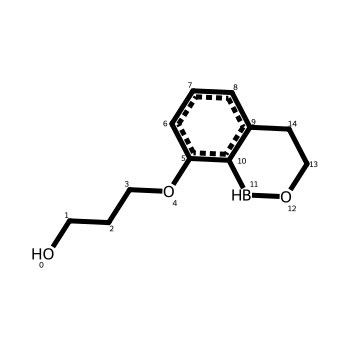 OCCCOc1cccc2c1BOCC2